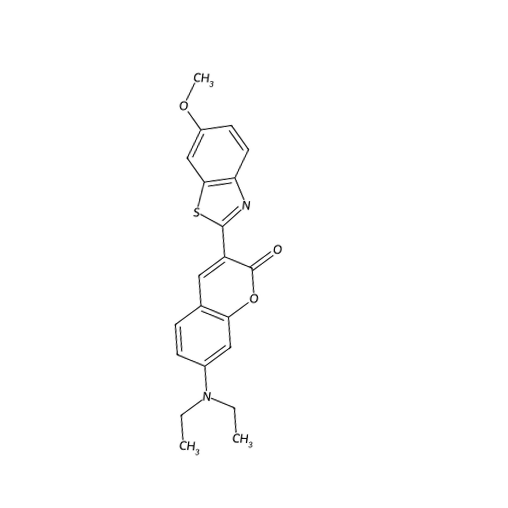 CCN(CC)c1ccc2cc(-c3nc4ccc(OC)cc4s3)c(=O)oc2c1